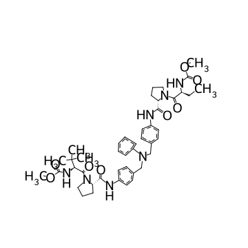 CC[C@H](NC(=O)OC)C(=O)N1CCC[C@H]1C(=O)Nc1ccc(CN(Cc2ccc(NC(=O)[C@@H]3CCCN3C(=O)[C@@H](NC(=O)OC)C(C)(C)C)cc2)c2ccccc2)cc1